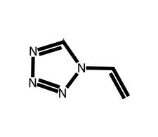 C=Cn1[c]nnn1